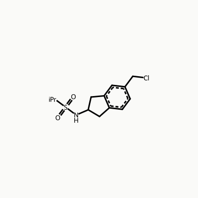 CC(C)S(=O)(=O)NC1Cc2ccc(CCl)cc2C1